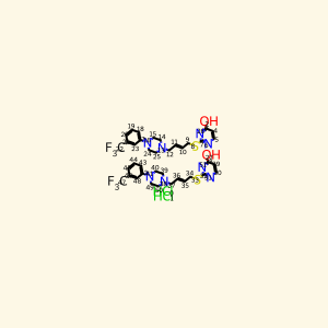 Cl.Cl.Oc1ccnc(SCC=CCN2CCN(c3cccc(C(F)(F)F)c3)CC2)n1.Oc1ccnc(SCC=CCN2CCN(c3cccc(C(F)(F)F)c3)CC2)n1